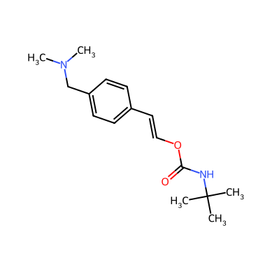 CN(C)Cc1ccc(C=COC(=O)NC(C)(C)C)cc1